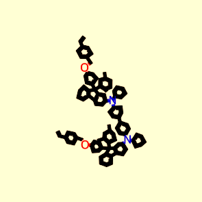 C=Cc1ccc(COc2ccc(C3(c4ccc(C)cc4C)c4ccccc4-c4ccc(N(c5ccccc5)c5ccc(-c6ccc(N(c7ccccc7)c7ccc8c(c7)C(c7ccc(OCc9ccc(C=C)cc9)cc7)(c7cc(C)ccc7C)c7ccccc7-8)cc6)cc5)cc43)cc2)cc1